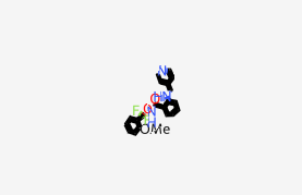 COc1ccccc1C(F)(F)ONC(=O)c1ccccc1NCc1ccncc1